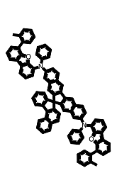 Cc1ccccc1-c1cccc2c1oc1c(N(c3ccccc3)c3ccc4cc5c(cc4c3)C3(c4cc6cc(N(c7ccccc7)c7cccc8c7oc7c(-c9ccccc9C)cccc78)ccc6cc4-5)c4ccccc4-c4c3ccc3ccccc43)cccc12